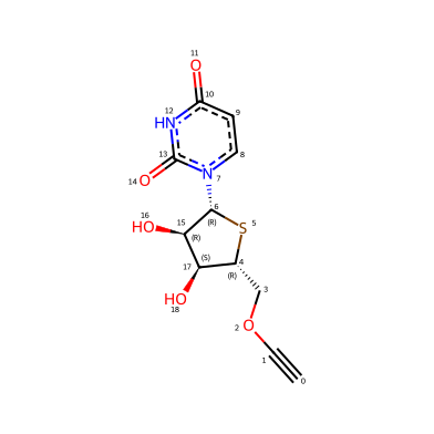 C#COC[C@H]1S[C@@H](n2ccc(=O)[nH]c2=O)[C@H](O)[C@@H]1O